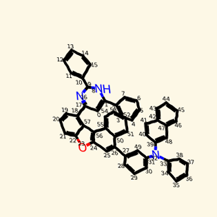 C1=C(c2ccccc2)NC(c2ccccc2)N=C1c1cccc2oc3cc(-c4cccc(N(c5ccccc5)c5ccc6ccccc6c5)c4)c4ccccc4c3c12